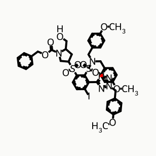 COc1ccc(CN(Cc2ccc(OC)cc2)S(=O)(=O)c2c(S(=O)(=O)C3CC(CO)N(C(=O)OCc4ccccc4)C3)ccc(I)c2-c2nnn(Cc3ccc(OC)cc3)n2)cc1